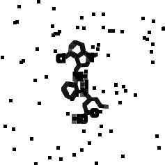 CCCC(CC(=O)O)Nc1ccccc1NCC1CN(C)c2cccc(Cl)c21